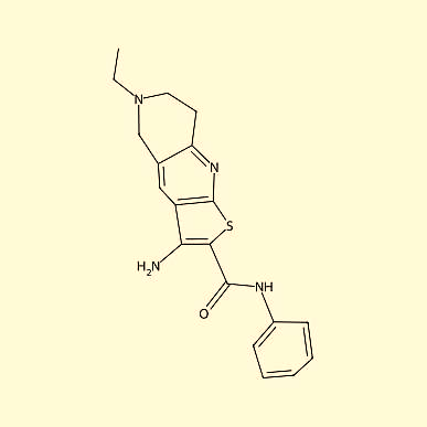 CCN1CCc2nc3sc(C(=O)Nc4ccccc4)c(N)c3cc2C1